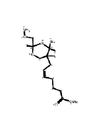 COC(=O)CCC/C=C\CC1(C)COC(C)(CO[SiH3])OC1(C)C(C)(C)C